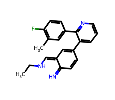 CCN/C=C1/C=C(c2cccnc2-c2ccc(F)c(C)c2)C=CC1=N